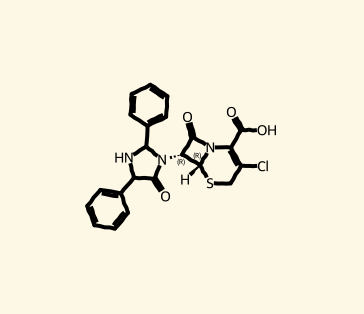 O=C(O)C1=C(Cl)CS[C@@H]2[C@H](N3C(=O)C(c4ccccc4)NC3c3ccccc3)C(=O)N12